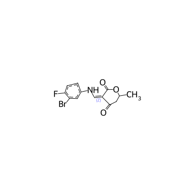 CC1CC(=O)/C(=C/Nc2ccc(F)c(Br)c2)C(=O)O1